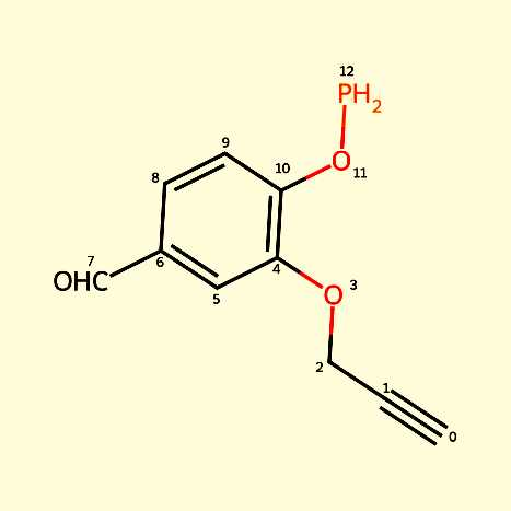 C#CCOc1cc(C=O)ccc1OP